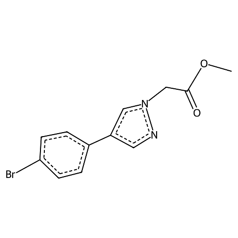 COC(=O)Cn1cc(-c2ccc(Br)cc2)cn1